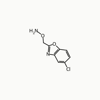 NOCc1nc2cc(Cl)ccc2o1